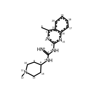 Cc1nc(NC(=N)NC2CCN(C)CC2)nc2ccccc12